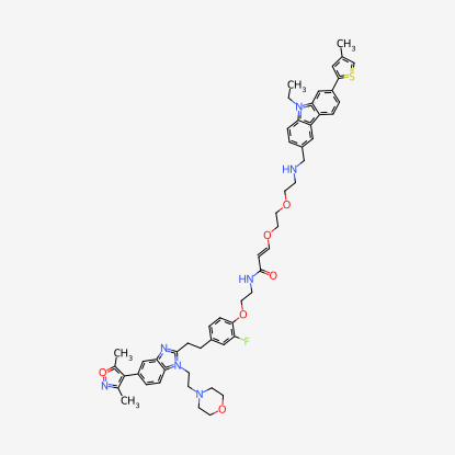 CCn1c2ccc(CNCCOCCOC=CC(=O)NCCOc3ccc(CCc4nc5cc(-c6c(C)noc6C)ccc5n4CCN4CCOCC4)cc3F)cc2c2ccc(-c3cc(C)cs3)cc21